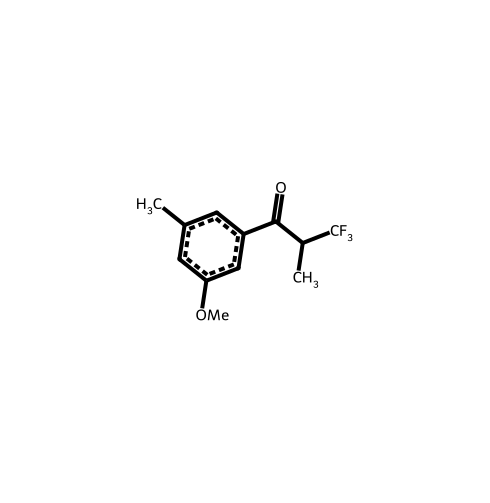 COc1cc(C)cc(C(=O)C(C)C(F)(F)F)c1